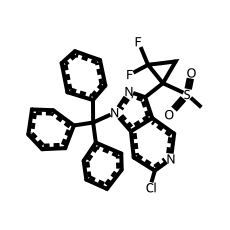 CS(=O)(=O)C1(c2nn(C(c3ccccc3)(c3ccccc3)c3ccccc3)c3cc(Cl)ncc23)CC1(F)F